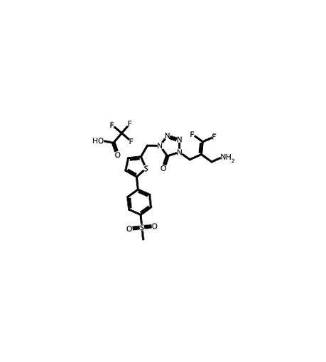 CS(=O)(=O)c1ccc(-c2ccc(Cn3nnn(CC(CN)=C(F)F)c3=O)s2)cc1.O=C(O)C(F)(F)F